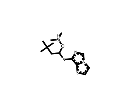 C[SiH](C)OC(CC(C)(C)C)Sc1ncn2ccsc12